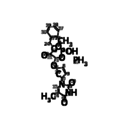 COP(O)OC(OC1C=CC(n2cc(C)c(=O)[nH]c2=O)C1)C(=O)OCc1ccccc1.P